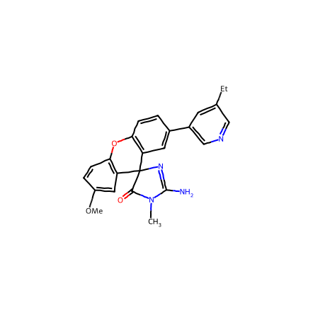 CCc1cncc(-c2ccc3c(c2)C2(N=C(N)N(C)C2=O)c2cc(OC)ccc2O3)c1